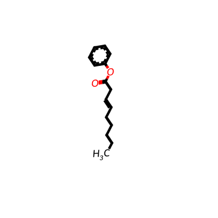 CCCCC/C=C/CC(=O)Oc1ccccc1